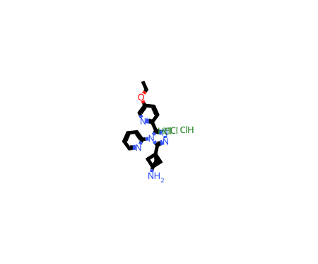 CCOc1ccc(-c2nnc(C34CC(N)(C3)C4)n2-c2ccccn2)nc1.Cl.Cl.Cl